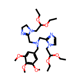 CCOC(CN1CCN=C1CN(Cc1cc(OC)c(OC)c(OC)c1)Cc1nccn1CC(OCC)OCC)OCC